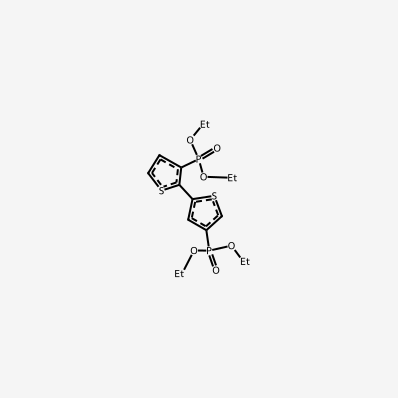 CCOP(=O)(OCC)c1csc(-c2sccc2P(=O)(OCC)OCC)c1